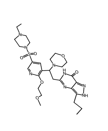 CCCc1[nH]nc2c(=O)[nH]c(CC(c3cc(S(=O)(=O)N4CCN(CC)CC4)cnc3OCCOC)N3CCOCC3)nc12